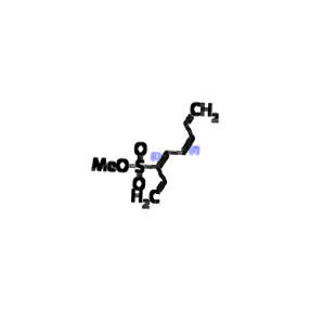 C=C/C=C\C=C(/C=C)S(=O)(=O)OC